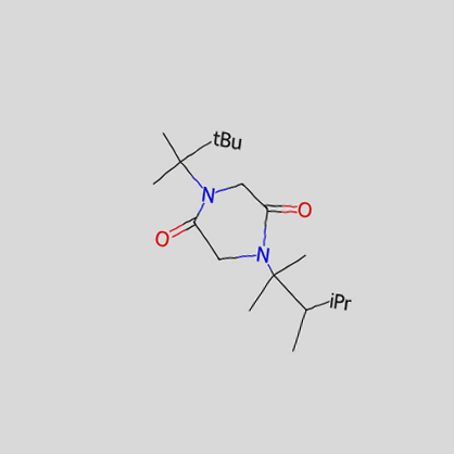 CC(C)C(C)C(C)(C)N1CC(=O)N(C(C)(C)C(C)(C)C)CC1=O